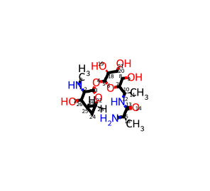 CNC1C(OC(OC(CO)[C@H](C)NC(=O)[C@H](C)N)[C@@H](O)CO)O[C@H]2C[C@@H]2C1O